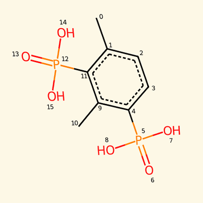 Cc1ccc(P(=O)(O)O)c(C)c1P(=O)(O)O